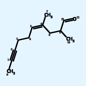 CC#CCCC=C(C)CC(C)C=O